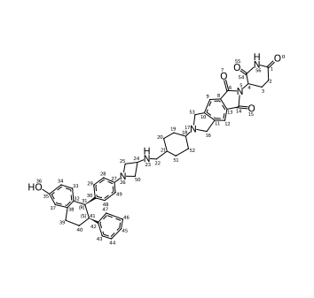 O=C1CCC(N2C(=O)c3cc4c(cc3C2=O)CN(C2CCC(CNC3CN(c5ccc([C@@H]6c7ccc(O)cc7CC[C@@H]6c6ccccc6)cc5)C3)CC2)C4)C(=O)N1